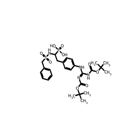 CC(C)(C)OC(=O)N=C(NC(=O)OC(C)(C)C)Nc1ccc(CC(NS(=O)(=O)Cc2ccccc2)P(=O)(O)O)cc1